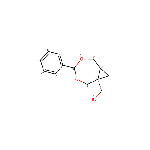 OC[C@]12COC(c3ccccc3)OCC1C2